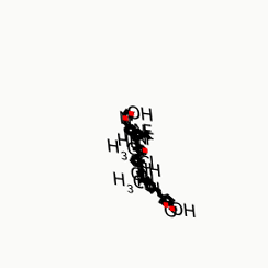 Cc1c(Nc2nc(C(F)F)nc3cc(CN4CC[C@H](O)C4)cnc23)cccc1-c1cccc(NC(=O)c2nc3c(n2C)CCN(CCC24CCC(C(=O)O)(CC2)C4)C3)c1Cl